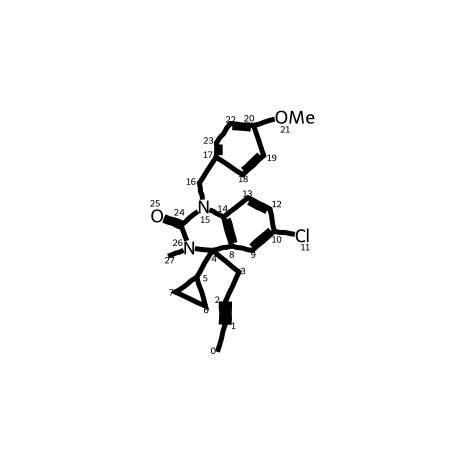 CC#CCC1(C2CC2)c2cc(Cl)ccc2N(Cc2ccc(OC)cc2)C(=O)N1C